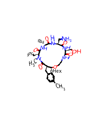 CCCCCC[C@H]1OCCNC(=O)[C@H](CO)NC(=O)[C@H](CN)NC(=O)[C@H]([C@H](C)CC)NC(=O)[C@H](CC(C)C)N(C)C(=O)[C@@H]1Cc1ccc(C)cc1